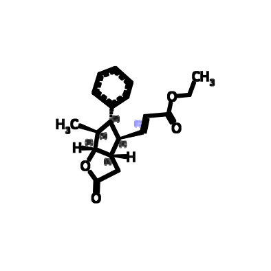 CCOC(=O)/C=C/[C@H]1[C@@H]2CC(=O)O[C@@H]2[C@@H](C)[C@@H]1c1ccccc1